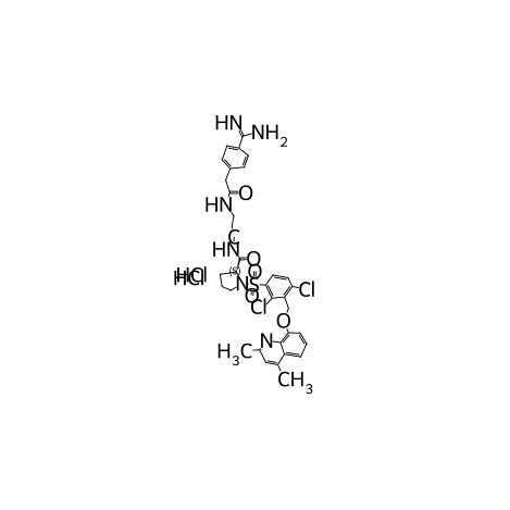 Cc1cc(C)c2cccc(OCc3c(Cl)ccc(S(=O)(=O)N4CCC[C@H]4C(=O)NCCCNC(=O)Cc4ccc(C(=N)N)cc4)c3Cl)c2n1.Cl.Cl